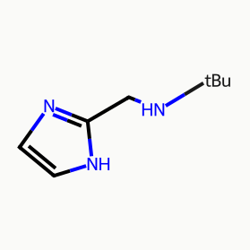 CC(C)(C)NCc1ncc[nH]1